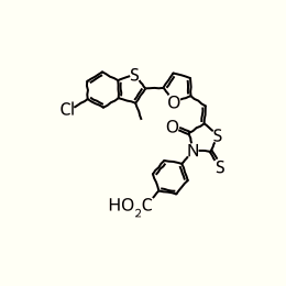 Cc1c(-c2ccc(C=C3SC(=S)N(c4ccc(C(=O)O)cc4)C3=O)o2)sc2ccc(Cl)cc12